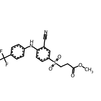 COC(=O)CCS(=O)(=O)c1ccc(Nc2ccc(C(F)(F)F)cc2)c(C#N)c1